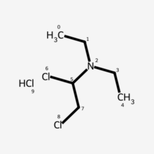 CCN(CC)C(Cl)CCl.Cl